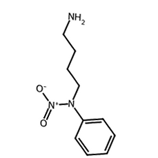 NCCCCN(c1ccccc1)[N+](=O)[O-]